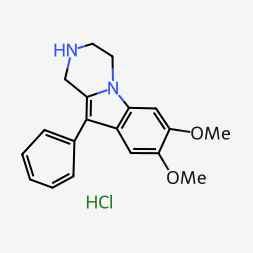 COc1cc2c(-c3ccccc3)c3n(c2cc1OC)CCNC3.Cl